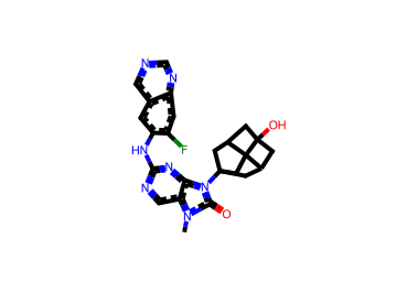 Cn1c(=O)n(C23CC4CC5(O)CC(C2)C45C3)c2nc(Nc3cc4cncnc4cc3F)ncc21